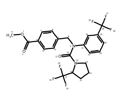 COC(=O)c1ccc(CN(C(=O)N2CCCC2C(F)(F)F)c2cccc(C(F)(F)F)c2)cc1